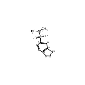 CN(C)S(=O)(=O)c1ccc2c(c1)[N]CC2